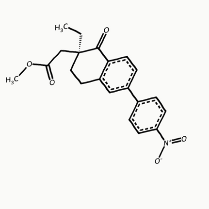 CC[C@@]1(CC(=O)OC)CCc2cc(-c3ccc([N+](=O)[O-])cc3)ccc2C1=O